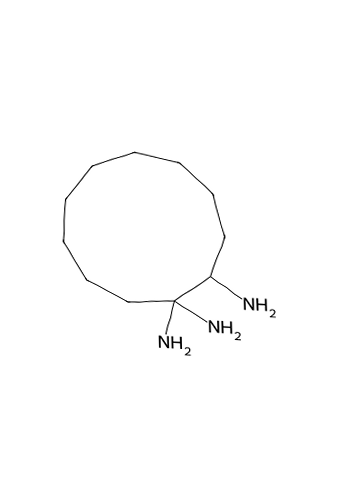 NC1CCCCCCCCCC1(N)N